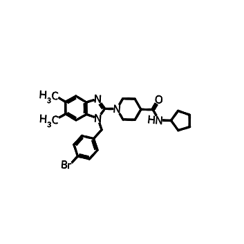 Cc1cc2nc(N3CCC(C(=O)NC4CCCC4)CC3)n(Cc3ccc(Br)cc3)c2cc1C